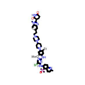 CCc1cc(Nc2ncc(Br)c(Nc3ccc4nc(C)ccc4c3P(C)(C)=O)n2)c(OC)cc1N1CCC(N2CCN(CCc3ccc4c(c3)nc(C3CCC(=O)NC3=O)n4C)CC2)CC1